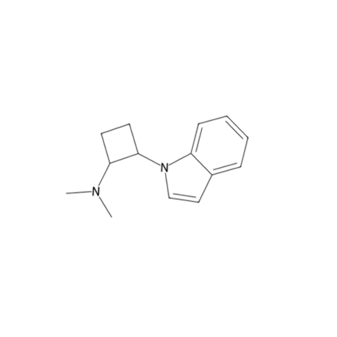 CN(C)C1CCC1n1ccc2ccccc21